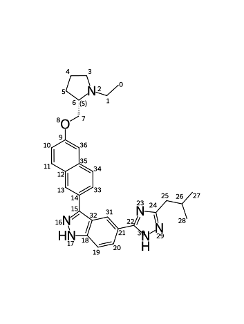 CCN1CCC[C@H]1COc1ccc2cc(-c3n[nH]c4ccc(-c5nc(CC(C)C)n[nH]5)cc34)ccc2c1